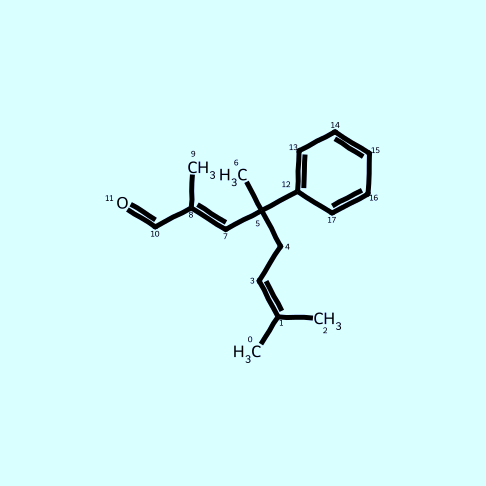 CC(C)=CCC(C)(C=C(C)C=O)c1ccccc1